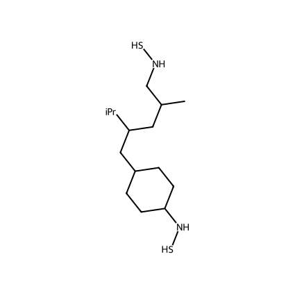 CC(CNS)CC(CC1CCC(NS)CC1)C(C)C